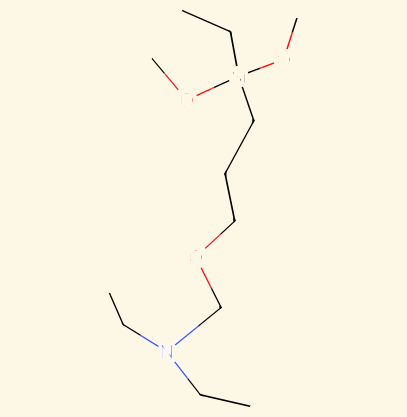 CCN(CC)COCCC[Si](CC)(OC)OC